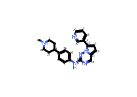 CN1CCC(c2ccc(Nc3ncc4ccc(-c5cccnc5)n4n3)cc2)CC1